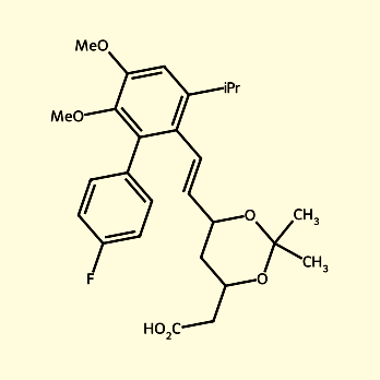 COc1cc(C(C)C)c(/C=C/C2CC(CC(=O)O)OC(C)(C)O2)c(-c2ccc(F)cc2)c1OC